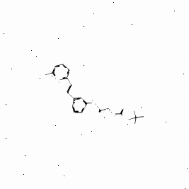 Cc1cccc(C=Cc2cccc(NC(=O)CNC(=O)OC(C)(C)C)c2)n1